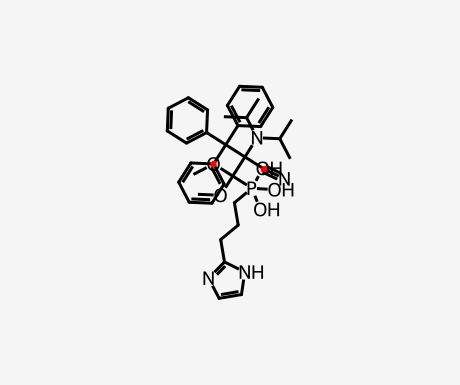 COC(OC)(C(C#N)(N(C(C)C)C(C)C)C(c1ccccc1)(c1ccccc1)c1ccccc1)P(O)(O)(O)CCCc1ncc[nH]1